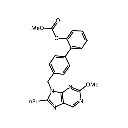 CCCCc1nc2cnc(OC)nc2n1Cc1ccc(-c2ccccc2OC(=O)OC)cc1